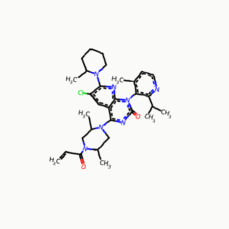 C=CC(=O)N1CC(C)N(c2nc(=O)n(-c3c(C)ccnc3C(C)C)c3nc(N4CCCCC4C)c(Cl)cc23)CC1C